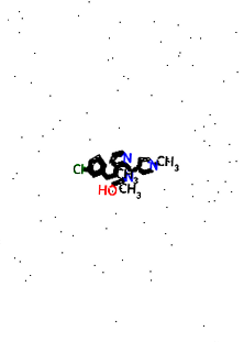 CN1CCC(C(=NC(C)(C)CO)c2ncccc2CCc2cccc(Cl)c2)CC1